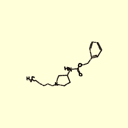 CCCCN1CCC(NC(=O)OCc2ccccc2)C1